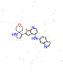 C1=C(c2cc3c(Nc4ccc5scnc5c4)ccnc3s2)C2(CCOCC2)NC1